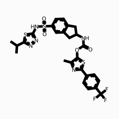 Cc1nc(-c2ccc(C(F)(F)F)cc2)sc1OC(=O)NC1Cc2ccc(S(=O)(=O)Nc3nnc(C(C)C)s3)cc2C1